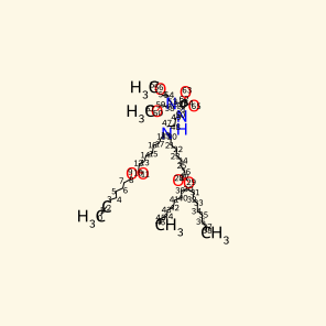 CCCCCCCCCOC(=O)CCCCCCCN(CCCCCCCC(=O)OC(CCCCCCCC)CCCCCCCC)CCCNc1c(N(CCOC)CCOC)c(=O)c1=O